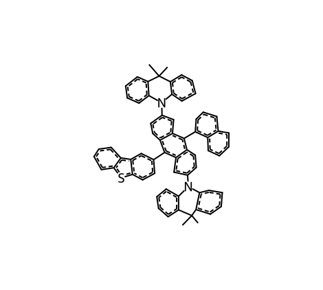 CC1(C)c2ccccc2N(c2ccc3c(-c4cccc5ccccc45)c4cc(N5c6ccccc6C(C)(C)c6ccccc65)ccc4c(-c4ccc5sc6ccccc6c5c4)c3c2)c2ccccc21